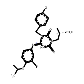 CC(Oc1ccc(/N=c2\[nH]c(=O)n(C[C@H](C)C(=O)O)c(=O)n2Cc2ccc(Cl)cc2)cc1F)C(F)(F)F